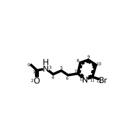 CC(=O)NCCCc1cccc(Br)n1